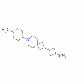 CC1CN(C2CC3(CCN(C4CCN(C)CC4)CC3)C2)C1